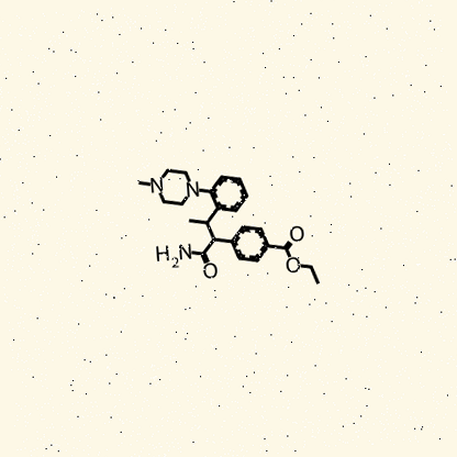 CCOC(=O)c1ccc(C(C(N)=O)C(C)c2ccccc2N2CCN(C)CC2)cc1